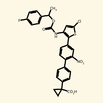 CC(OC(=O)Nc1cc(Cl)sc1-c1ccc(-c2ccc(C3(C(=O)O)CC3)cc2)c([N+](=O)[O-])c1)c1ccc(F)cc1